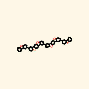 c1ccc2c(c1)oc1ccc(-c3ccc4oc5cc6c(cc5c4c3)oc3ccc(-c4ccc5oc7cc8c(cc7c5c4)oc4ccc(-c5ccc7oc9ccccc9c7c5)cc48)cc36)cc12